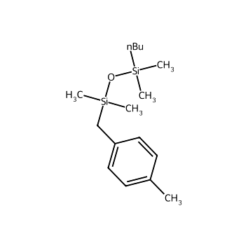 CCCC[Si](C)(C)O[Si](C)(C)Cc1ccc(C)cc1